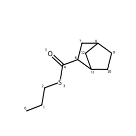 CCCSC(=O)C1CC2CCC1C2